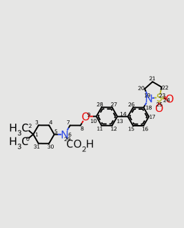 CC1(C)CCC(N(CCOc2ccc(-c3cccc(N4CCCS4(=O)=O)c3)cc2)C(=O)O)CC1